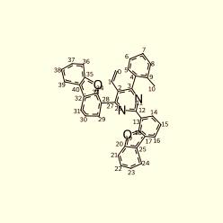 C=Cc1c(-c2ccccc2C)nc(-c2cccc3c2oc2ccccc23)nc1-c1cccc2c1oc1ccccc12